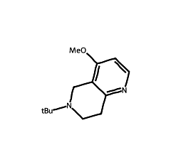 COc1ccnc2c1CN(C(C)(C)C)CC2